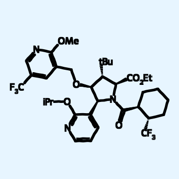 CCOC(=O)[C@@H]1[C@@H](C(C)(C)C)[C@H](OCc2cc(C(F)(F)F)cnc2OC)[C@H](c2cccnc2OC(C)C)N1C(=O)[C@H]1CCCC[C@@H]1C(F)(F)F